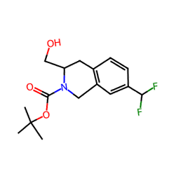 CC(C)(C)OC(=O)N1Cc2cc(C(F)F)ccc2CC1CO